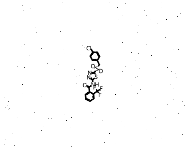 O=C(Nc1nnc(S(=O)(=O)Cc2ccc(Cl)cc2)s1)c1ccccc1C(F)(F)F